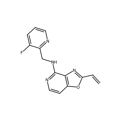 C=Cc1nc2c(NCc3ncccc3F)nccc2o1